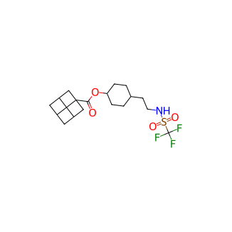 O=C(OC1CCC(CCNS(=O)(=O)C(F)(F)F)CC1)C12CC3CC4CC(C1)C432